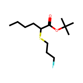 CCCCC(SCCCF)C(=O)OC(C)(C)C